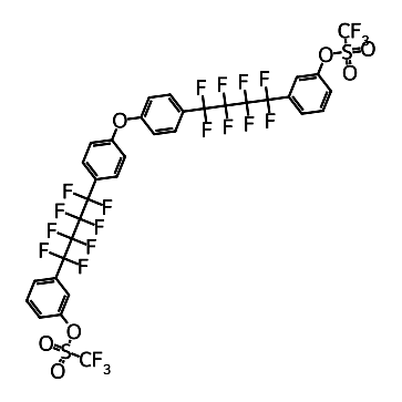 O=S(=O)(Oc1cccc(C(F)(F)C(F)(F)C(F)(F)C(F)(F)c2ccc(Oc3ccc(C(F)(F)C(F)(F)C(F)(F)C(F)(F)c4cccc(OS(=O)(=O)C(F)(F)F)c4)cc3)cc2)c1)C(F)(F)F